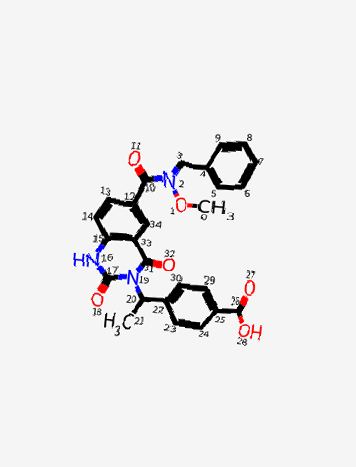 CON(Cc1ccccc1)C(=O)c1ccc2[nH]c(=O)n(C(C)c3ccc(C(=O)O)cc3)c(=O)c2c1